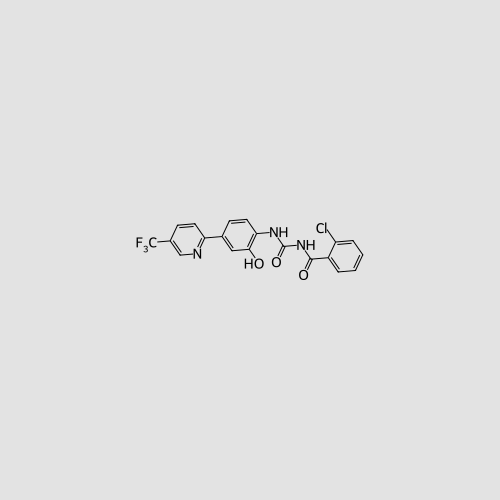 O=C(NC(=O)c1ccccc1Cl)Nc1ccc(-c2ccc(C(F)(F)F)cn2)cc1O